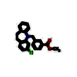 COC(=O)c1cccc(CN2c3ccccc3CCc3ccc(Cl)cc32)c1